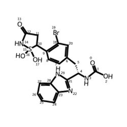 O=C(O)N[C@@H](Cc1ccc(C2CC(=O)NS2(O)O)c(Br)c1)c1nc2ccccc2[nH]1